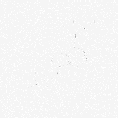 COC(c1cccc2c1CCC2O[Si](C)(C)C(C)(C)C)C(C)(C)C